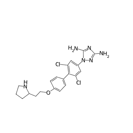 Nc1nc(N)n(-c2cc(Cl)c(-c3ccc(OCCC4CCCN4)cc3)c(Cl)c2)n1